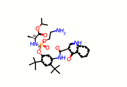 CC(C)OC(=O)[C@H](C)N[P@@](=O)(OCCN)Oc1cc(NC(=O)c2c[nH]c3ccccc3c2=O)c(C(C)(C)C)cc1C(C)(C)C